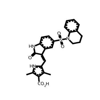 Cc1[nH]c(/C=C2\C(=O)Nc3ccc(S(=O)(=O)N4CCCc5ccccc54)cc32)c(C)c1C(=O)O